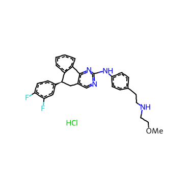 COCCNCCc1ccc(Nc2ncc3c(n2)-c2ccccc2[C@H](c2ccc(F)c(F)c2)C3)cc1.Cl